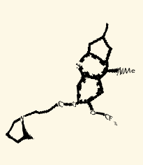 CNc1c2c(nc3cc(OCCCN4CCCC4)c(OC(F)(F)F)cc13)CC(C)C2